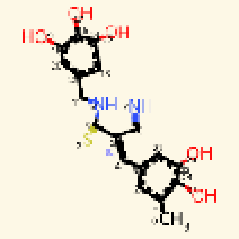 Cc1cc(/C=C(\C=N)C(=S)NCc2cc(O)c(O)c(O)c2)cc(O)c1O